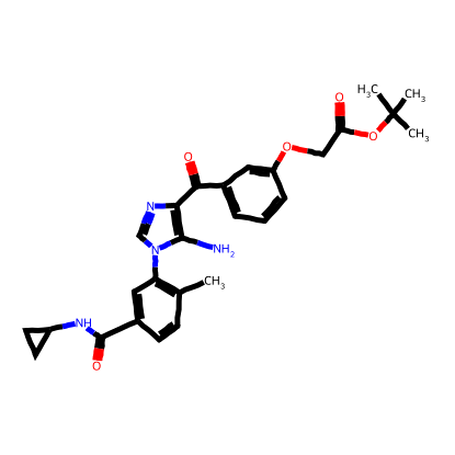 Cc1ccc(C(=O)NC2CC2)cc1-n1cnc(C(=O)c2cccc(OCC(=O)OC(C)(C)C)c2)c1N